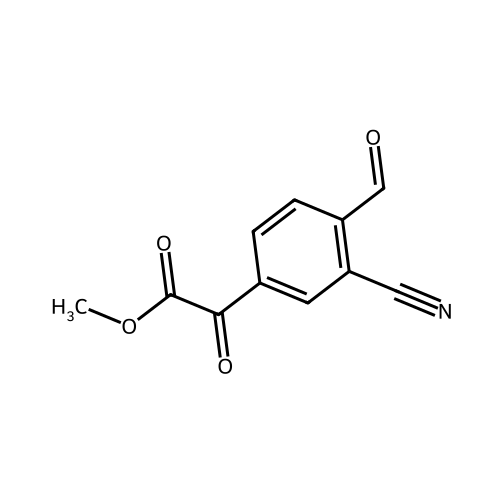 COC(=O)C(=O)c1ccc(C=O)c(C#N)c1